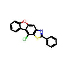 Clc1c2sc(-c3ccccc3)nc2cc2oc3ccccc3c12